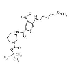 COCCOCCNc1cc(F)c(C(=O)NC2CCCN(C(=O)OC(C)(C)C)C2)cc1[N+](=O)[O-]